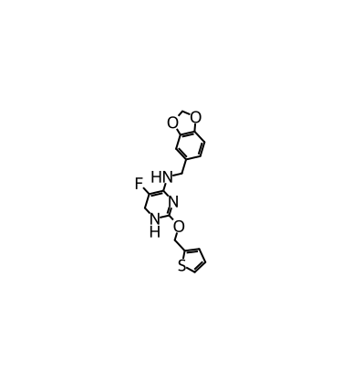 FC1=C(NCc2ccc3c(c2)OCO3)N=C(OCc2cccs2)NC1